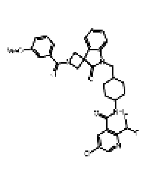 COc1cccc(C(=O)N2CC3(C2)C(=O)N(CC2CCC(NC(=O)c4cc(Cl)cnc4C(F)F)CC2)c2ccccc23)c1